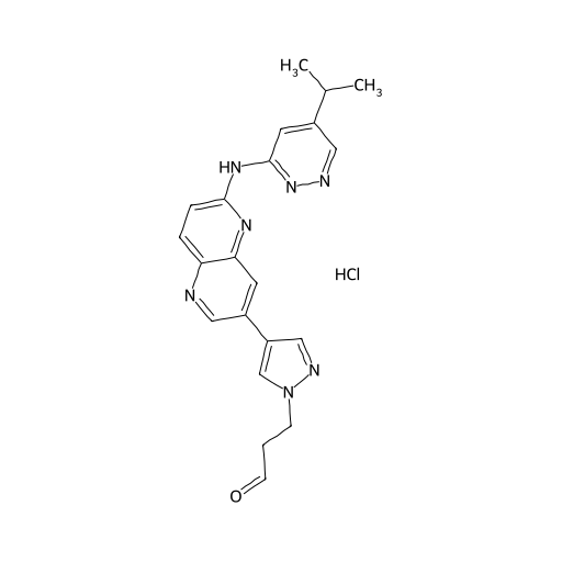 CC(C)c1cnnc(Nc2ccc3ncc(-c4cnn(CCC=O)c4)cc3n2)c1.Cl